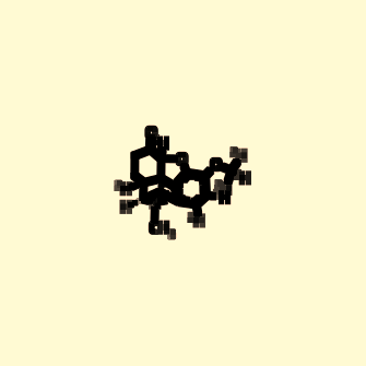 [2H]c1c([2H])c(OC([2H])([2H])[2H])c2c3c1C[C@H]1N(C)CC[C@@]34C([2H])(O2)C(=O)CC[C@@]14[2H]